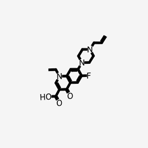 C=CCN1CCN(c2cc3c(cc2F)c(=O)c(C(=O)O)cn3CC)CC1